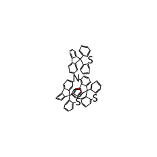 c1ccc2c(c1)Sc1ccccc1C21c2ccccc2-c2ccc(N(c3ccc4c(c3)C3(c5ccccc5Sc5ccccc53)c3ccccc3-4)c3cccc4c3-c3ccccc3C43c4ccccc4Sc4ccccc43)cc21